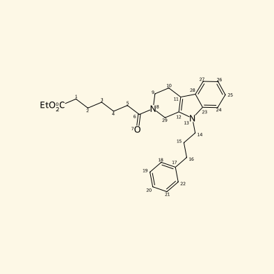 CCOC(=O)CCCCCC(=O)N1CCc2c(n(CCCc3ccccc3)c3ccccc23)C1